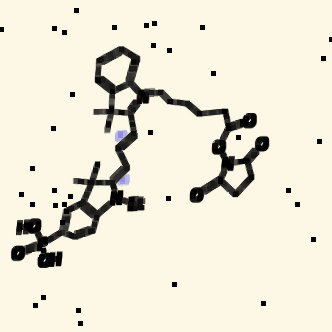 CCN1/C(=C/C=C/C2=[N+](CCCCCC(=O)ON3C(=O)CCC3=O)c3ccccc3C2(C)C)C(C)(C)c2cc(P(=O)(O)O)ccc21